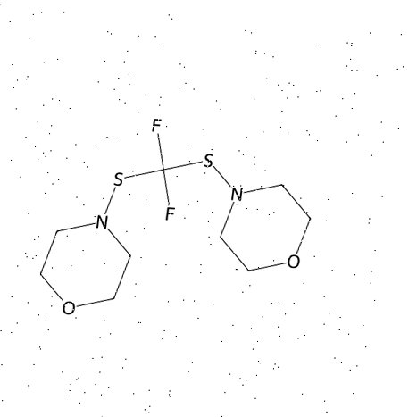 FC(F)(SN1CCOCC1)SN1CCOCC1